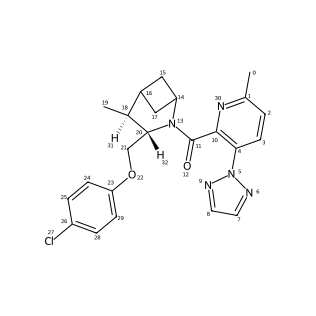 Cc1ccc(-n2nccn2)c(C(=O)N2C3CC(C3)[C@H](C)[C@H]2COc2ccc(Cl)cc2)n1